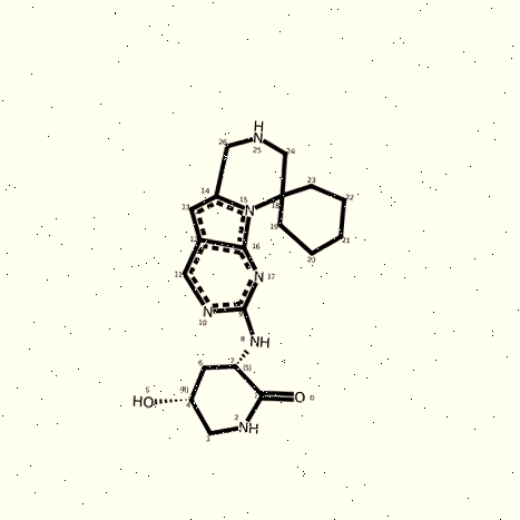 O=C1NC[C@H](O)C[C@@H]1Nc1ncc2cc3n(c2n1)C1(CCCCC1)CNC3